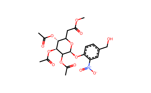 COC(=O)CC1O[C@@H](Oc2ccc(CO)cc2[N+](=O)[O-])C(OC(C)=O)[C@@H](OC(C)=O)[C@@H]1OC(C)=O